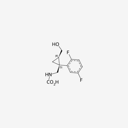 O=C(O)NC[C@@]1(c2cc(F)ccc2F)C[C@H]1CO